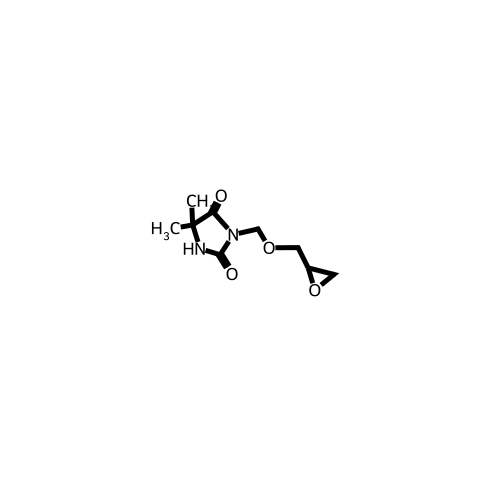 CC1(C)NC(=O)N(COCC2CO2)C1=O